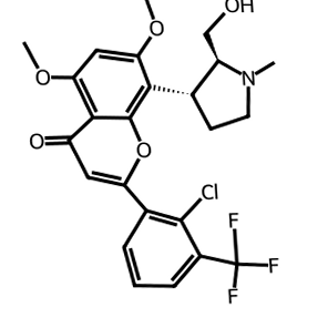 COc1cc(OC)c2c(=O)cc(-c3cccc(C(F)(F)F)c3Cl)oc2c1[C@H]1CCN(C)[C@@H]1CO